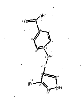 CCCC(=O)c1ccc(NCc2c[nH]nc2C(C)C)cc1